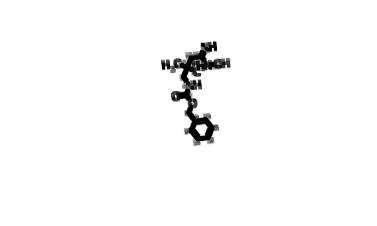 CC(C)(CNC(=O)OCc1ccccc1)CC(=N)NO